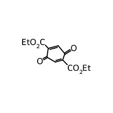 CCOC(=O)C1=CC(=O)C(C(=O)OCC)=CC1=O